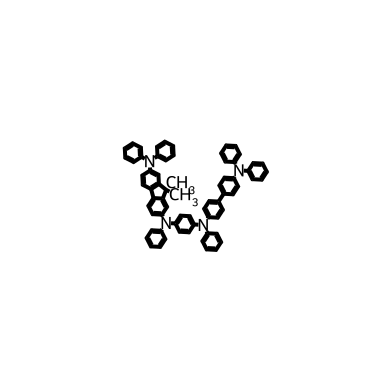 CC1(C)c2cc(N(c3ccccc3)c3ccccc3)ccc2-c2ccc(N(c3ccccc3)c3ccc(N(c4ccccc4)c4ccc(-c5ccc(N(c6ccccc6)c6ccccc6)cc5)cc4)cc3)cc21